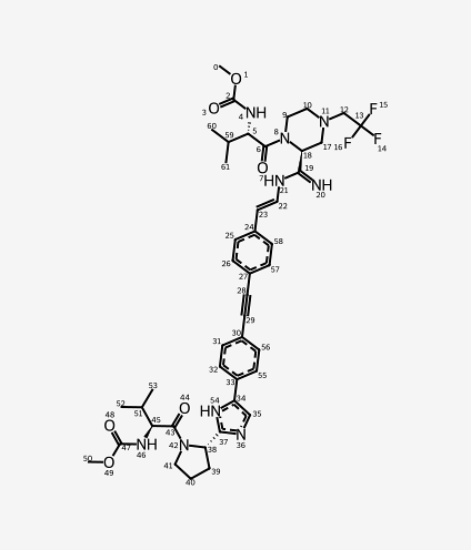 COC(=O)N[C@H](C(=O)N1CCN(CC(F)(F)F)C[C@H]1C(=N)N/C=C/c1ccc(C#Cc2ccc(-c3cnc([C@@H]4CCCN4C(=O)[C@@H](NC(=O)OC)C(C)C)[nH]3)cc2)cc1)C(C)C